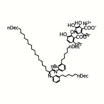 CCCCCCCCCCCCCCCCCCCCCCCCCCC(=Nc1cccc(CCCCCCCCCCCCCCC)c1)C(CCCC)=Nc1cccc(CCCCCCCCCCCCCCC)c1.CCCc1ccc(O)c(O)c1C(=O)[O-].CCCc1ccc(O)c(O)c1C(=O)[O-].[Ni+2]